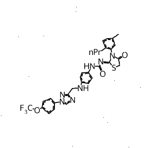 CCCc1ccc(C)cc1N1C(=O)CS/C1=N\C(=O)Nc1ccc(NCc2ncn(-c3ccc(OC(F)(F)F)cc3)n2)cc1